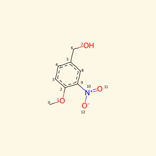 COc1c[c]c(CO)cc1[N+](=O)[O-]